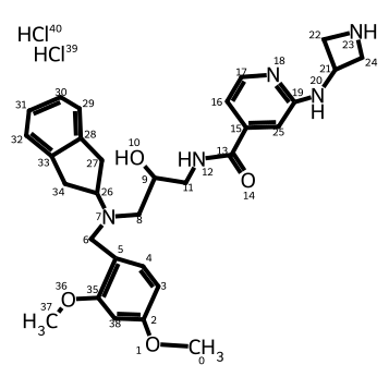 COc1ccc(CN(CC(O)CNC(=O)c2ccnc(NC3CNC3)c2)C2Cc3ccccc3C2)c(OC)c1.Cl.Cl